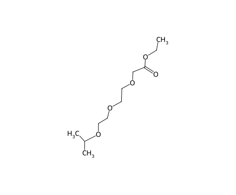 CCOC(=O)COCCOCCOC(C)C